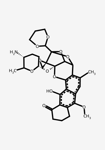 COc1c2c(c(O)c3c4c(c(C)cc13)C1OC3(C5OCCCO5)OC1[C@@](O[C@H]1CC[C@@H](N)C(C)O1)(O4)[C@@]31CO1)C(=O)CCC2